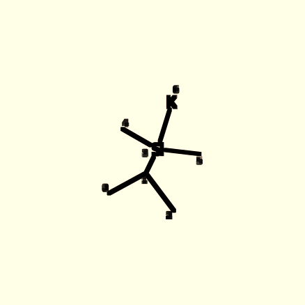 CC(C)[Si](C)(C)[K]